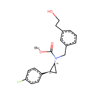 CC(C)(C)OC(=O)N(Cc1cccc(CCO)c1)[C@@H]1C[C@H]1c1ccc(F)cc1